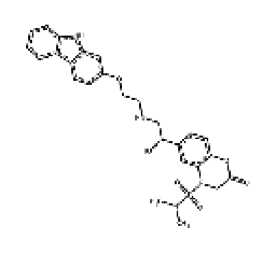 CN(C)S(=O)(=O)N1CC(=O)Oc2ccc([C@@H](O)CNCCOc3ccc4c(c3)[nH]c3ccccc34)cc21